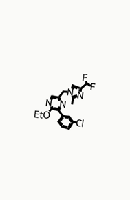 CCOc1ncc(Cn2cc(C(F)F)nc2C)nc1-c1cccc(Cl)c1